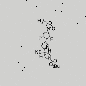 C[C@H]1CN(c2cc(F)c(-c3ccc([C@@]4(C#N)[C@@H]5CN(C(=O)OC(C)(C)C)C[C@@H]54)nc3)c(F)c2)C(=O)O1